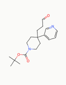 CC(C)(C)OC(=O)N1CCC(CCC=O)(c2cccnc2)CC1